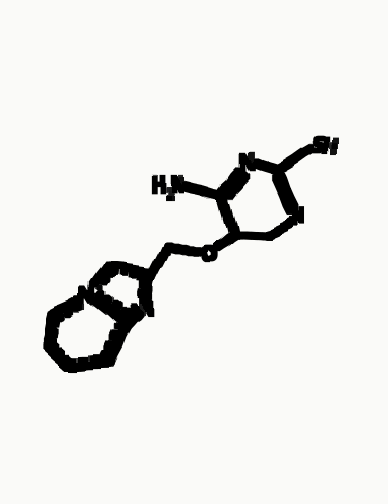 NC1=NC(S)=NCC1OCc1cn2ccccc2n1